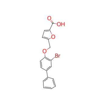 O=C(O)c1ccc(COc2ccc(-c3ccccc3)cc2Br)o1